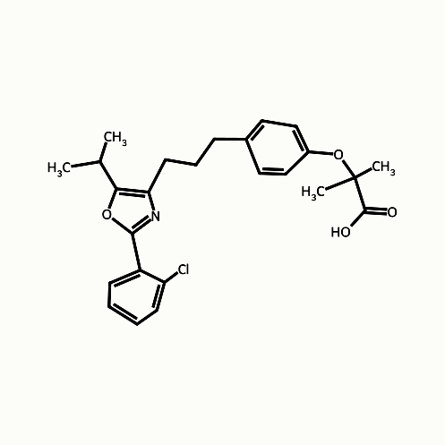 CC(C)c1oc(-c2ccccc2Cl)nc1CCCc1ccc(OC(C)(C)C(=O)O)cc1